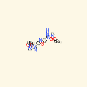 CN1c2ccc(-c3cnc([C@@H]4CCCN4C(=O)OC(C)(C)C)[nH]3)cc2Oc2ccc(-c3c[nH]c([C@@H]4CCCN4C(=O)OC(C)(C)C)n3)cc21